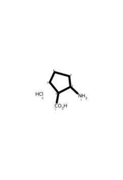 Cl.NC1CCCC1C(=O)O